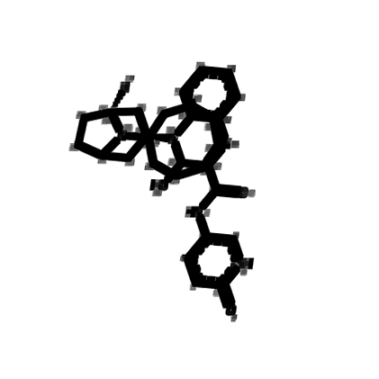 O=C(Nc1ccc(=O)[nH]c1)C1=Nc2ccccc2N([C@H]2CC3CC[C@@H](C2)N3C2CCCCCCC2)C1O